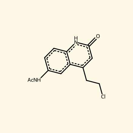 CC(=O)Nc1ccc2[nH]c(=O)cc(CCCl)c2c1